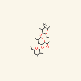 CCC1O[C@H](O[C@@H]2C(C(C)=O)O[C@@H](O[C@H]3C(CC)OC(C)[CH]([Rb])[C@@H]3C)C(C)[C@H]2C)C(C)[C@@H](C)[C@@H]1C